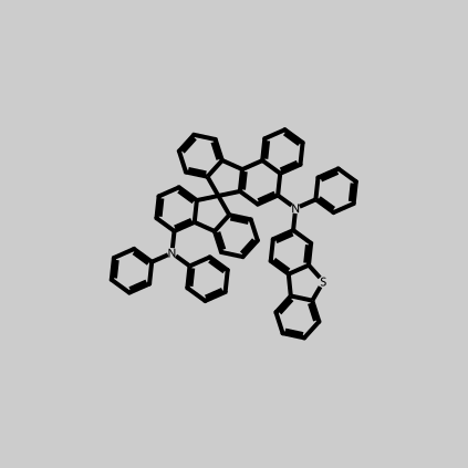 c1ccc(N(c2ccccc2)c2cccc3c2-c2ccccc2C32c3ccccc3-c3c2cc(N(c2ccccc2)c2ccc4c(c2)sc2ccccc24)c2ccccc32)cc1